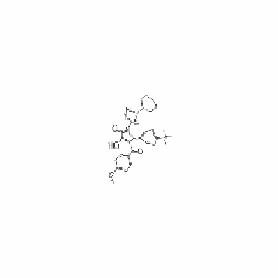 COC1=CC=C(C(=O)C2=C(O)C(=O)N(c3nnc(C4CCCCC4)s3)C2c2ccc(C(C)(C)C)cc2)CC1